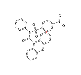 O=C(c1c2ccccc2nc2ccccc12)N(c1ccccc1)S(=O)(=O)c1ccc([N+](=O)[O-])cc1